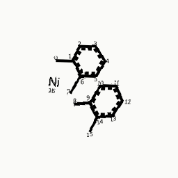 Cc1ccccc1C.Cc1ccccc1C.[Ni]